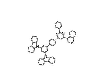 c1ccc(-c2nc(-c3ccc(-c4cc(-n5c6ccccc6c6ccccc65)cc(-n5c6ccccc6c6ccccc65)c4)cc3)cc(-c3cccc4ccccc34)n2)cc1